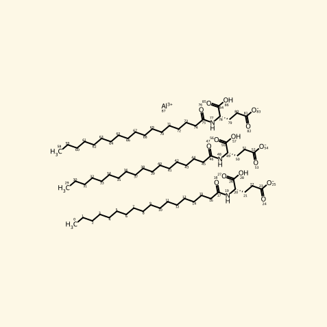 CCCCCCCCCCCCCCCCCC(=O)N[C@@H](CCC(=O)[O-])C(=O)O.CCCCCCCCCCCCCCCCCC(=O)N[C@@H](CCC(=O)[O-])C(=O)O.CCCCCCCCCCCCCCCCCC(=O)N[C@@H](CCC(=O)[O-])C(=O)O.[Al+3]